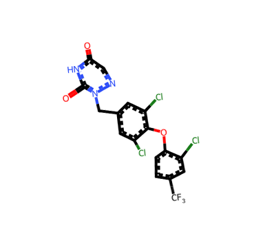 O=c1cnn(Cc2cc(Cl)c(Oc3ccc(C(F)(F)F)cc3Cl)c(Cl)c2)c(=O)[nH]1